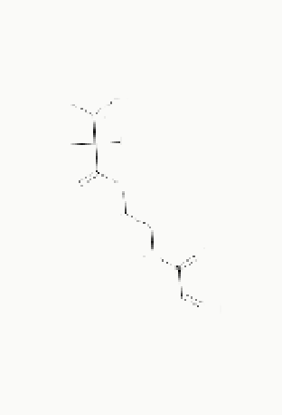 C=CC(=O)OCCOC(=O)C(F)(F)C(F)F